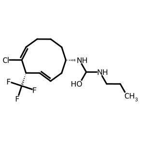 CCCNC(O)N[C@@H]1C/C=C/[C@H](C(F)(F)F)/C(Cl)=C\CCC1